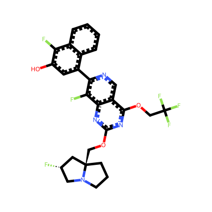 Oc1cc(-c2ncc3c(OCC(F)(F)F)nc(OC[C@@]45CCCN4C[C@H](F)C5)nc3c2F)c2ccccc2c1F